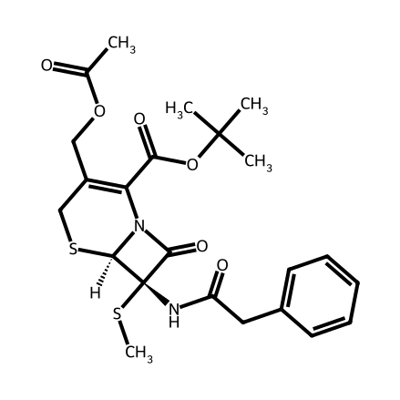 CS[C@@]1(NC(=O)Cc2ccccc2)C(=O)N2C(C(=O)OC(C)(C)C)=C(COC(C)=O)CS[C@@H]21